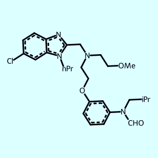 CCCn1c(CN(CCOC)CCOc2cccc(N(C=O)CC(C)C)c2)nc2ccc(Cl)cc21